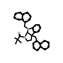 CC(C)(C)C(=O)N1CCC2(Cc3cccc4ccccc34)c3ccccc3N(Cc3cccc4ccccc34)C12